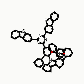 c1ccc(-c2cc(-c3nc(-c4ccc5c(c4)sc4ccccc45)nc(-c4ccc5c(c4)sc4ccccc45)n3)cc(-c3ccccc3)c2-n2c3ccccc3c3ccc4c5ccccc5n(-c5ccccc5)c4c32)cc1